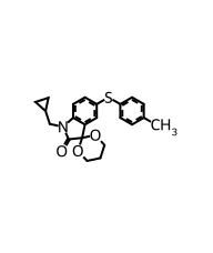 Cc1ccc(Sc2ccc3c(c2)C2(OCCCO2)C(=O)N3CC2CC2)cc1